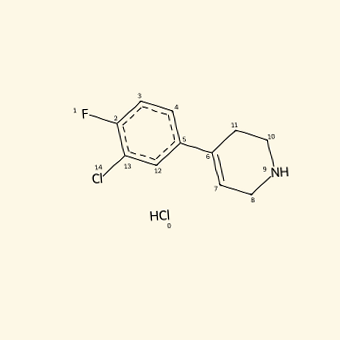 Cl.Fc1ccc(C2=CCNCC2)cc1Cl